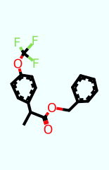 CC(C(=O)OCc1ccccc1)c1ccc(OC(F)(F)F)cc1